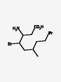 CCC(CC(C)CCC(C)C)C(N)CC(=O)O